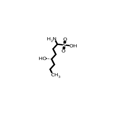 CCC[C@H](O)CCC(N)S(=O)(=O)O